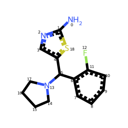 Nc1ncc(C(c2ccccc2F)N2CCCC2)s1